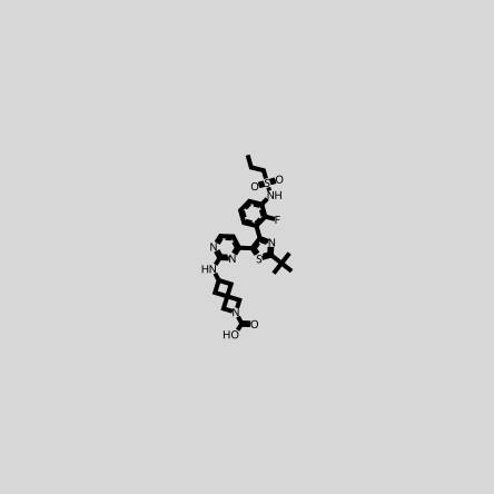 CCCS(=O)(=O)Nc1cccc(-c2nc(C(C)(C)C)sc2-c2ccnc(NC3CC4(C3)CN(C(=O)O)C4)n2)c1F